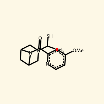 COc1ccnc(C(=O)N2C3CC2CN(C(C)S)C3)c1